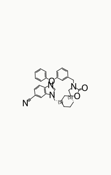 N#Cc1ccc2ncn(C[C@H]3CCC[C@]4(C3)CN(Cc3cccc(Oc5ccccc5)c3)C(=O)O4)c2c1